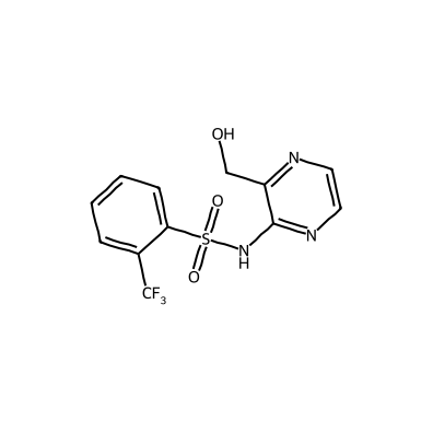 O=S(=O)(Nc1nccnc1CO)c1ccccc1C(F)(F)F